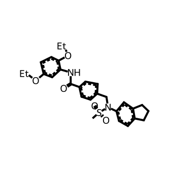 CCOc1ccc(OCC)c(NC(=O)c2ccc(CN(c3ccc4c(c3)CCC4)S(C)(=O)=O)cc2)c1